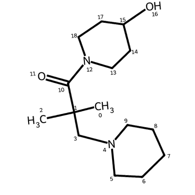 CC(C)(CN1CCCCC1)C(=O)N1CCC(O)CC1